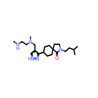 CNCCN(C)Cc1c[nH]nc1C1CCC2(CC1)CCN(CCC(C)C)C2=O